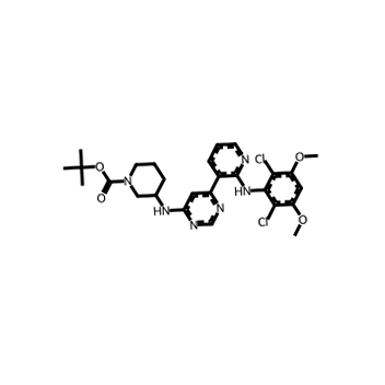 COc1cc(OC)c(Cl)c(Nc2ncccc2-c2cc(NC3CCCN(C(=O)OC(C)(C)C)C3)ncn2)c1Cl